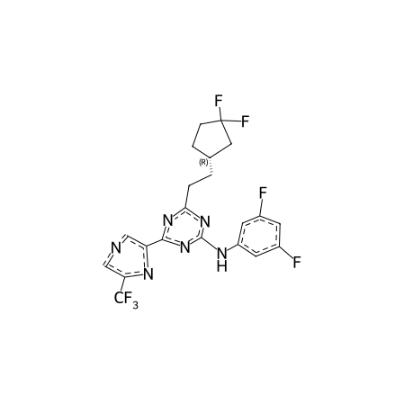 Fc1cc(F)cc(Nc2nc(CC[C@@H]3CCC(F)(F)C3)nc(-c3cncc(C(F)(F)F)n3)n2)c1